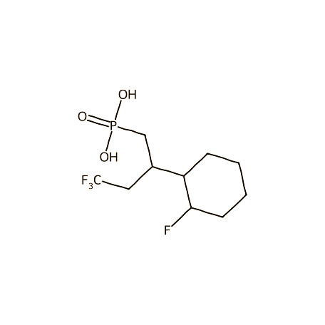 O=P(O)(O)CC(CC(F)(F)F)C1CCCCC1F